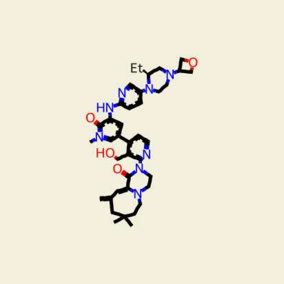 C=C1/C=C2/C(=O)N(c3nccc(-c4cc(Nc5ccc(N6CCN(C7COC7)C[C@@H]6CC)cn5)c(=O)n(C)c4)c3CO)CCN2CCC(C)(C)C1